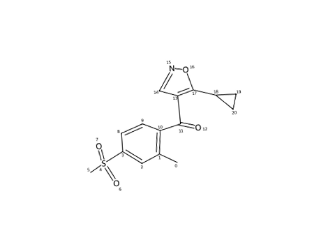 Cc1cc(S(C)(=O)=O)ccc1C(=O)c1cnoc1C1CC1